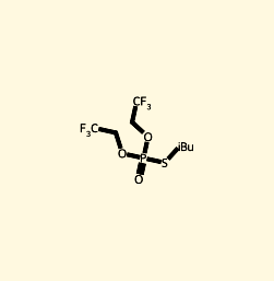 CCC(C)SP(=O)(OCC(F)(F)F)OCC(F)(F)F